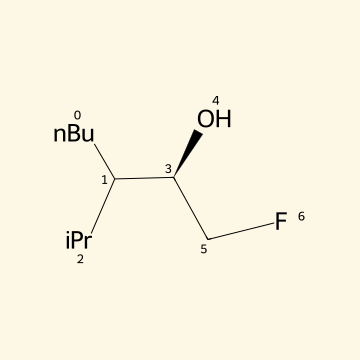 CCCCC(C(C)C)[C@@H](O)CF